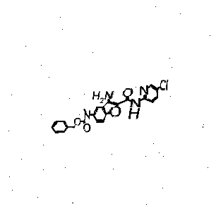 CN(C(=O)OCc1ccccc1)c1ccc2oc(C(=O)Nc3ccc(Cl)cn3)c(N)c2c1